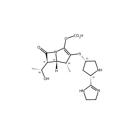 C[C@@H](O)[C@H]1C(=O)N2C(OC(=O)O)=C(S[C@@H]3CN[C@H](C4=NCCN4)C3)[C@H](C)[C@H]12